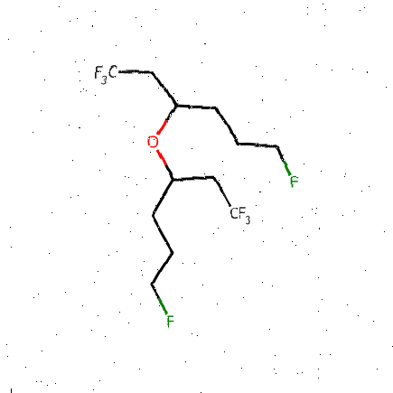 FCCCC(CC(F)(F)F)OC(CCCF)CC(F)(F)F